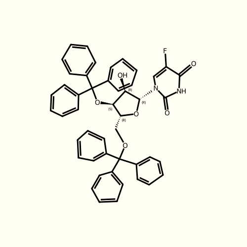 O=c1[nH]c(=O)n([C@@H]2O[C@H](COC(c3ccccc3)(c3ccccc3)c3ccccc3)[C@@H](OC(c3ccccc3)(c3ccccc3)c3ccccc3)[C@H]2O)cc1F